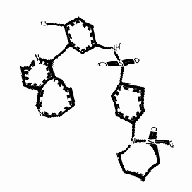 O=S(=O)(Nc1ccc(Cl)c(-c2nccc3ncccc23)c1)c1ccc(N2CCCCS2(=O)=O)cc1